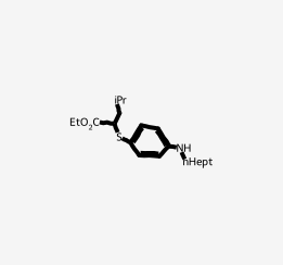 CCCCCCCNc1ccc(SC(CC(C)C)C(=O)OCC)cc1